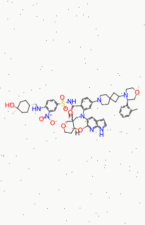 Cc1ccccc1[C@@H]1COCCN1C1CC2(CCN(c3ccc(C(=O)NS(=O)(=O)c4ccc(NC[C@H]5CC[C@](C)(O)CC5)c([N+](=O)[O-])c4)c(N4C[C@H]5COCC[C@@H]5Oc5nc6[nH]ccc6cc54)c3)CC2)C1